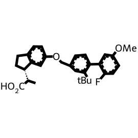 COc1ccc(F)c(-c2ccc(COc3ccc4c(c3)[C@H](C(C)C(=O)O)CC4)cc2C(C)(C)C)c1